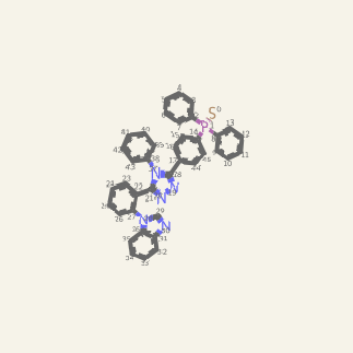 S=P(c1ccccc1)(c1ccccc1)c1ccc(-c2nnc(-c3ccccc3-n3cnc4ccccc43)n2-c2ccccc2)cc1